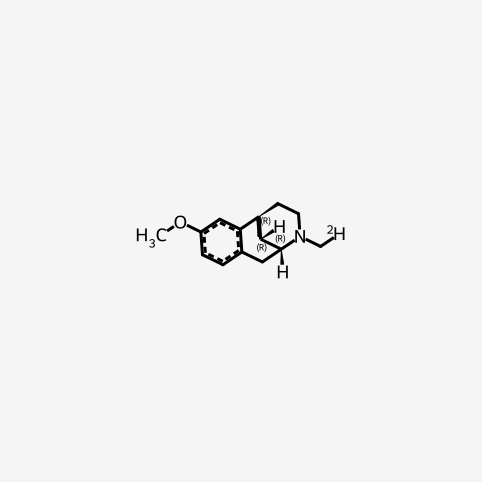 [2H]CN1CC[C@]23CCCC[C@H]2[C@H]1Cc1ccc(OC)cc13